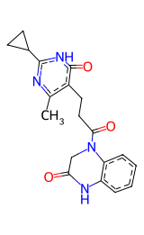 Cc1nc(C2CC2)[nH]c(=O)c1CCC(=O)N1CC(=O)Nc2ccccc21